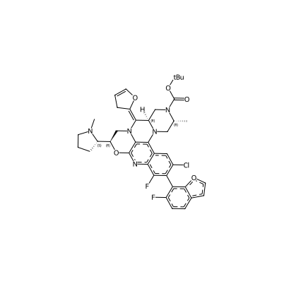 C[C@@H]1CN2c3c4c(nc5c(F)c(-c6c(F)ccc7ccoc67)c(Cl)cc35)O[C@@H]([C@@H]3CCCN3C)CN4C(=C3CC=CO3)[C@H]2CN1C(=O)OC(C)(C)C